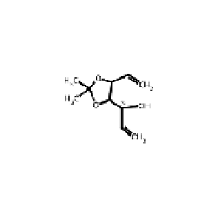 C=CC1OC(C)(C)OC1[C@@H](O)C=C